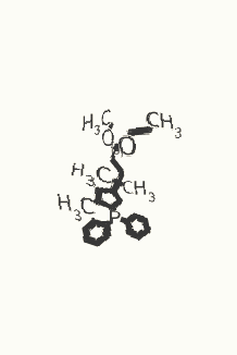 CCCO[C@@H](CCC(C)(C)C1CC(C)C(P(c2ccccc2)c2ccccc2)C1)OCC